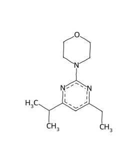 CCc1cc(C(C)C)nc(N2CCOCC2)n1